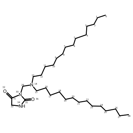 CCCCCCCCCCCCCCN(CCCCCCCCCCCCCC)CN1C(=O)CNC1=O